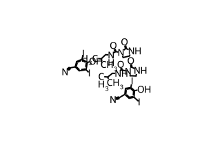 CC(C)CNC(=O)N1CCNC1=O.CC(C)CNC(=O)N1CCNC1=O.N#Cc1cc(I)c(O)c(I)c1.N#Cc1cc(I)c(O)c(I)c1